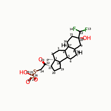 C[C@]12CCC3C(CC[C@@H]4C[C@@](O)(C(F)F)CC[C@H]34)C1CC[C@@H]2C(=O)CSS(=O)(=O)O